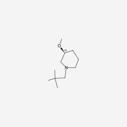 CO[C@H]1CCCN(CC(C)(C)C)C1